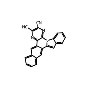 N#Cc1nc2c3cc4ccccc4cc3c3cc4ccccc4n3c2nc1C#N